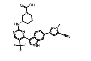 Cn1cc(-c2ccc3c(-c4nc(N[C@H]5CCCN(C(=O)O)C5)ncc4C(F)(F)F)c[nH]c3c2)cc1C#N